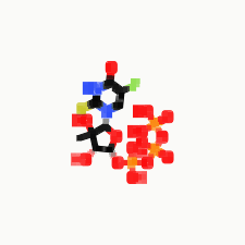 CC1(O)[C@@H](O)[C@@H](OP(=O)(O)OP(=O)(O)OP(=O)(O)O)O[C@H]1n1cc(F)c(=O)[nH]c1=S